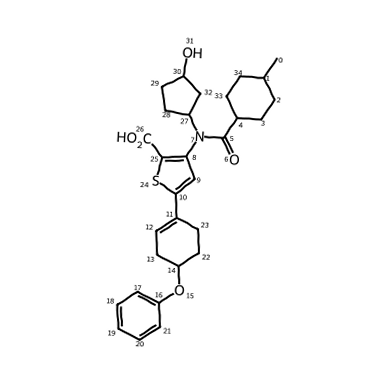 CC1CCC(C(=O)N(c2cc(C3=CCC(Oc4ccccc4)CC3)sc2C(=O)O)C2CCC(O)C2)CC1